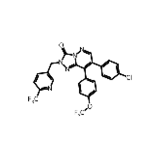 O=c1n(Cc2ccc(C(F)(F)F)nc2)nc2c(-c3ccc(OC(F)(F)F)cc3)c(-c3ccc(Cl)cc3)cnn12